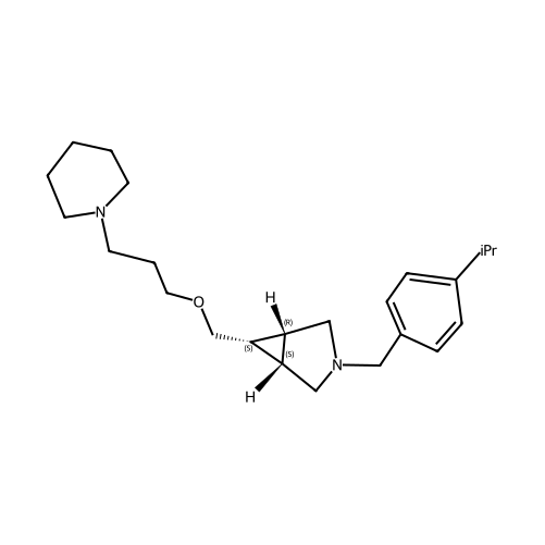 CC(C)c1ccc(CN2C[C@@H]3[C@H](COCCCN4CCCCC4)[C@@H]3C2)cc1